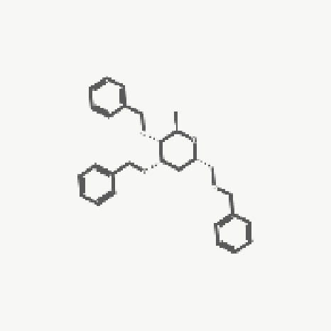 C[C@H]1O[C@H](COCc2ccccc2)C[C@H](OCc2ccccc2)[C@@H]1OCc1ccccc1